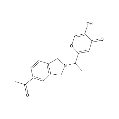 CC(=O)c1ccc2c(c1)CN(C(C)c1cc(=O)c(O)co1)C2